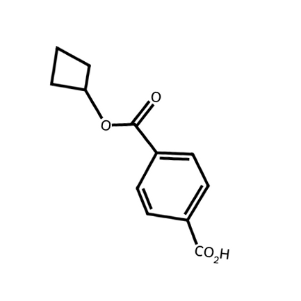 O=C(O)c1ccc(C(=O)OC2CCC2)cc1